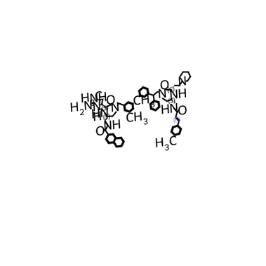 CCC(NC(=N)N)[C@@H]1N[C@H](CNC(=O)c2ccc3ccccc3c2)CCN(Cc2cc(C)cc(C)c2)C1=O.Cc1ccc(/C=C/C(=O)NC[C@@H]2CCN(CC(c3ccccc3)c3ccccc3)C(=O)[C@H](CCN3CCCCC3)N2)cc1